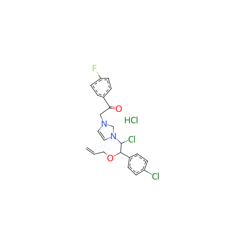 C=CCOC(c1ccc(Cl)cc1)C(Cl)N1C=CN(CC(=O)c2ccc(F)cc2)C1.Cl